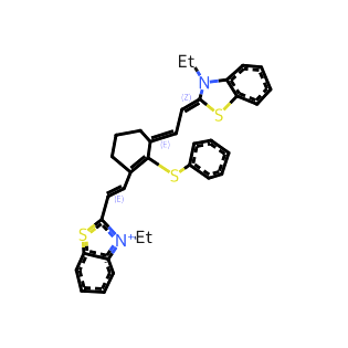 CCN1/C(=C/C=C2\CCCC(/C=C/c3sc4ccccc4[n+]3CC)=C2Sc2ccccc2)Sc2ccccc21